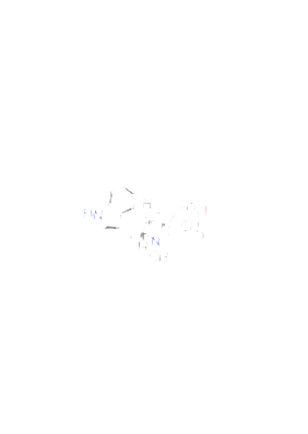 CN1C[C@](C)(CO)C[C@@H]2c3cccc4[nH]cc(c34)C[C@H]21